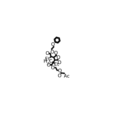 CCC(C(=O)OCCOc1ccccc1)C1C(=O)OC(=O)C1C(C)(CC)C(=O)OCCOC(=O)CC(C)=O